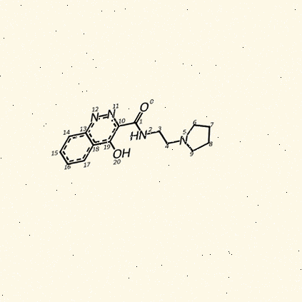 O=C(NCCN1CCCC1)c1nnc2ccccc2c1O